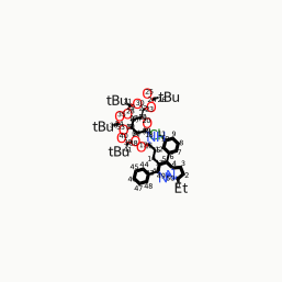 CCc1ccc2c(-c3cccc(Cl)c3)c(CCC(=O)N[C@@H]3O[C@H](COC(=O)C(C)(C)C)[C@H](OC(=O)C(C)(C)C)[C@H](OC(=O)C(C)(C)C)[C@H]3OC(=O)C(C)(C)C)c(-c3ccccc3)nn12